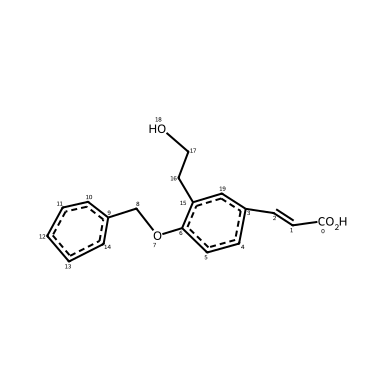 O=C(O)C=Cc1ccc(OCc2ccccc2)c(CCO)c1